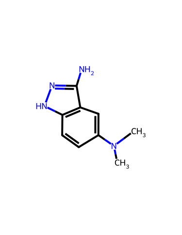 CN(C)c1ccc2[nH]nc(N)c2c1